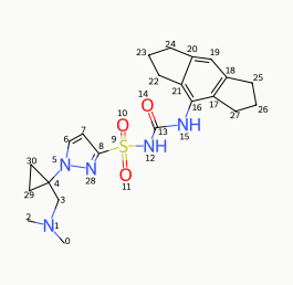 CN(C)CC1(n2ccc(S(=O)(=O)NC(=O)Nc3c4c(cc5c3CCC5)CCC4)n2)CC1